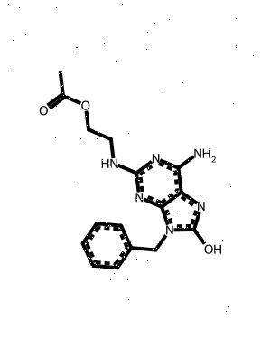 CC(=O)OCCNc1nc(N)c2nc(O)n(Cc3ccccc3)c2n1